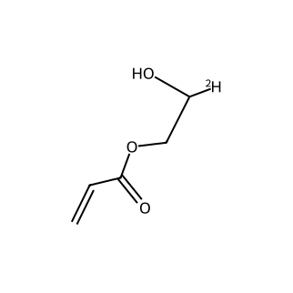 [2H]C(O)COC(=O)C=C